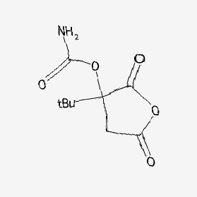 CC(C)(C)C1(OC(N)=O)CC(=O)OC1=O